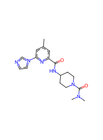 Cc1cc(C(=O)NC2CCN(C(=O)N(C)C)CC2)nc(-n2ccnc2)c1